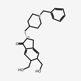 O=C1C2=CC(CO)C(CO)C=C2C[C@H]1CC1CCN(Cc2ccccc2)CC1